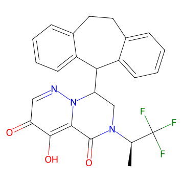 C[C@@H](N1CC(C2c3ccccc3CCc3ccccc32)n2ncc(=O)c(O)c2C1=O)C(F)(F)F